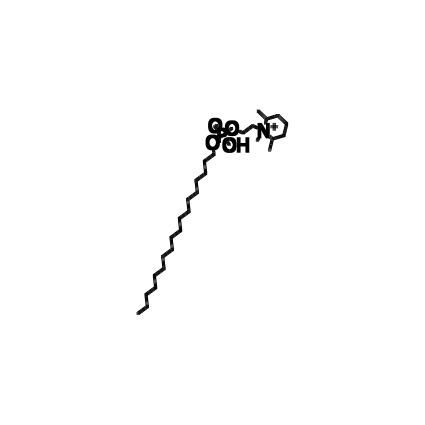 CCCCCCCCCCCCCCCCCCOP(=O)(O)OCC[N+]1(C)C(C)CCCC1C